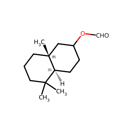 CC1(C)CCC[C@]2(C)CC(OC=O)CC[C@@H]12